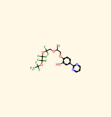 CCC(COc1ccc(-c2ncccn2)cc1O)OCC(F)(F)OC(F)(F)C(F)(F)OC(F)(F)C(F)(F)F